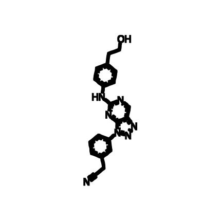 N#CCc1cccc(-n2nnc3cnc(Nc4ccc(CCO)cc4)nc32)c1